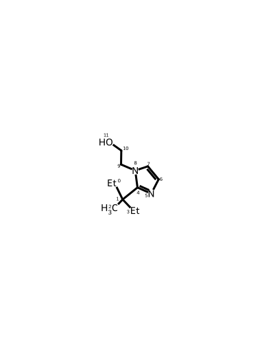 CCC(C)(CC)c1nccn1CCO